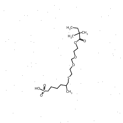 CCC(C)(C)C(=O)OCCOCOCCSCC(C)CCCCS(=O)(=O)O